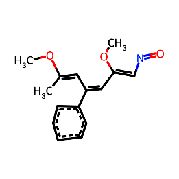 COC(=C\N=O)/C=C(\C=C(/C)OC)c1ccccc1